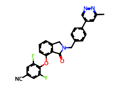 Cc1cc(-c2ccc(CN3Cc4cccc(Oc5c(F)cc(C#N)cc5F)c4C3=O)cc2)cnn1